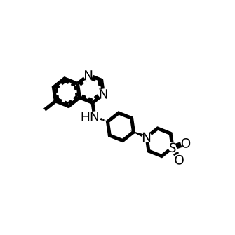 Cc1ccc2ncnc(N[C@H]3CC[C@H](N4CCS(=O)(=O)CC4)CC3)c2c1